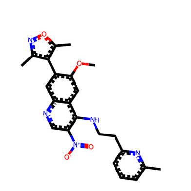 COc1cc2c(NCCc3cccc(C)n3)c([N+](=O)[O-])cnc2cc1-c1c(C)noc1C